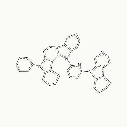 c1ccc(-n2c3ccccc3c3c2ccc2c4ccccc4n(-c4cccc(-n5c6ccccc6c6ccncc65)n4)c23)cc1